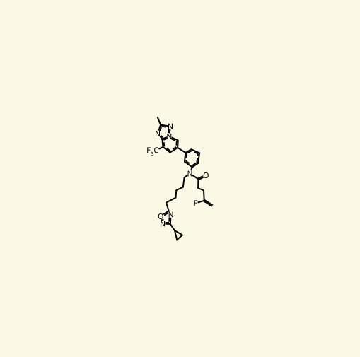 C=C(F)CCC(=O)N(CCCCCc1nc(C2CC2)no1)c1cccc(-c2cc(C(F)(F)F)c3nc(C)nn3c2)c1